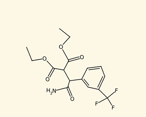 CCOC(=O)C(C(=O)OCC)C(C(N)=O)c1cccc(C(F)(F)F)c1